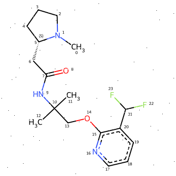 CN1CCC[C@H]1CC(=O)NC(C)(C)COc1ncccc1C(F)F